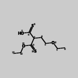 CCOCCC(C(O)=S)C(=S)OCC